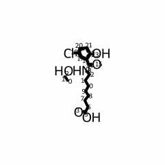 CCO.O=C(O)CCCCCCCNC(=O)c1cc(Cl)ccc1O